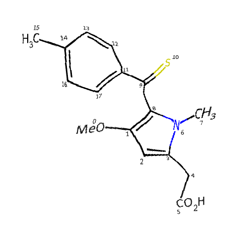 COc1cc(CC(=O)O)n(C)c1C(=S)c1ccc(C)cc1